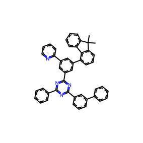 CC1(C)c2ccccc2-c2c(-c3cc(-c4ccccn4)cc(-c4nc(-c5ccccc5)nc(-c5cccc(-c6ccccc6)c5)n4)c3)cccc21